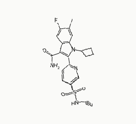 Cc1cc2c(cc1F)c(C(N)=O)c(-c1ccc(S(=O)(=O)NC(C)(C)C)cn1)n2C1CCC1